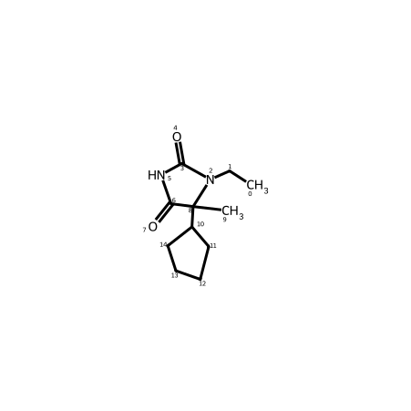 CCN1C(=O)NC(=O)C1(C)C1CCCC1